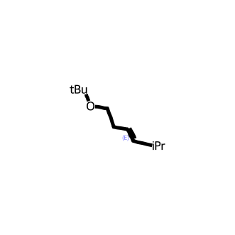 CC(C)/C=C/CCOC(C)(C)C